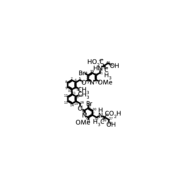 COc1nc(OCc2cccc(-c3cccc(COc4nc(OC)c(CN[C@@](C)(CO)C(=O)O)cc4Br)c3C)c2C)c(Br)cc1CN[C@@](C)(CO)C(=O)O